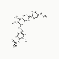 COc1cnc(N2CCC(C(C)C(C)CCOc3ccc(CC(=O)O)c(F)c3)CC2)nc1